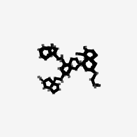 CCc1c(F)ccc2cc(OCOC)cc(N3CCc4c(nc(OC[C@@]56CCCN5C[C@H](F)C6)nc4NCc4c[nH]c5ncccc45)C3)c12